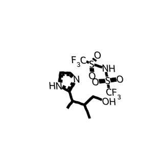 CC(CO)C(C)c1ncc[nH]1.O=S(=O)(NS(=O)(=O)C(F)(F)F)C(F)(F)F